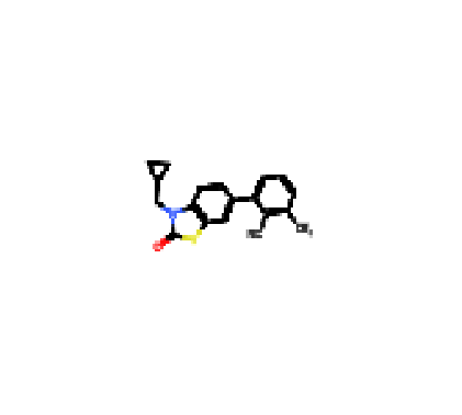 N#Cc1c(-c2ccc3c(c2)sc(=O)n3CC2CC2)cccc1C(F)(F)F